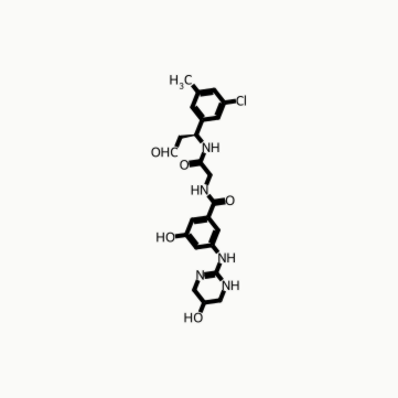 Cc1cc(Cl)cc([C@H](CC=O)NC(=O)CNC(=O)c2cc(O)cc(NC3=NCC(O)CN3)c2)c1